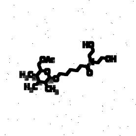 CC(=O)OCC1O[C@@H](OCCCCCC(=O)N(CCO)CCO)C(C)[C@@H](C)[C@H]1C